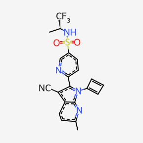 Cc1ccc2c(C#N)c(-c3ccc(S(=O)(=O)N[C@@H](C)C(F)(F)F)cn3)n(C3=CC=C3)c2n1